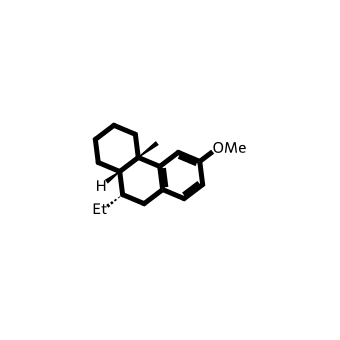 CC[C@H]1Cc2ccc(OC)cc2[C@@]2(C)CCCC[C@@H]12